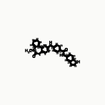 CN1C(=O)Cc2cnc(Nc3ccc(C(=O)Nc4ccc5[nH]ccc5c4)cc3)nc2-c2ccccc21